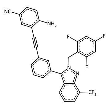 N#Cc1ccc(N)c(C#Cc2cccc(-c3c4cccc(C(F)(F)F)c4nn3Cc3c(F)cc(F)cc3F)c2)c1